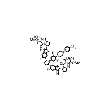 COC(=O)N[C@H](C(=O)N1CCC[C@H]1c1nc2cc([C@H]3CC[C@H](c4cc5nc([C@@H]6CCCN6C(=O)[C@@H](NC(=O)O)[C@@H](C)OC)[nH]c5cc4F)N3c3cc(F)c(N4CCN(c5ccc(C(F)(F)F)cc5)CC4)c(F)c3)c(F)cc2[nH]1)[C@@H](C)OC